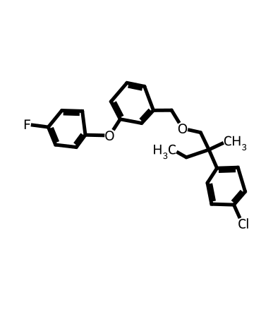 CCC(C)(COCc1cccc(Oc2ccc(F)cc2)c1)c1ccc(Cl)cc1